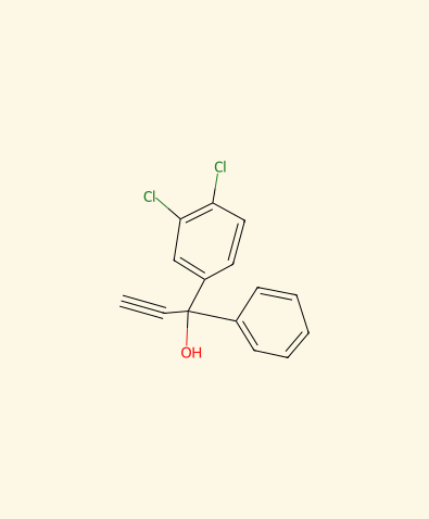 C#CC(O)(c1ccccc1)c1ccc(Cl)c(Cl)c1